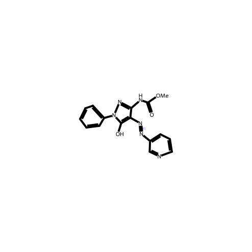 COC(=O)Nc1nn(-c2ccccc2)c(O)c1/N=N/c1cccnc1